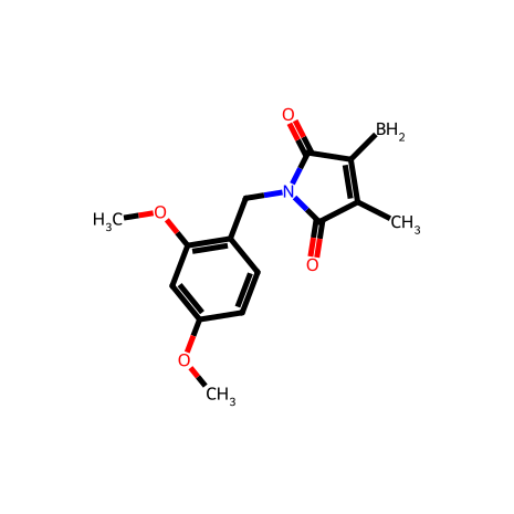 BC1=C(C)C(=O)N(Cc2ccc(OC)cc2OC)C1=O